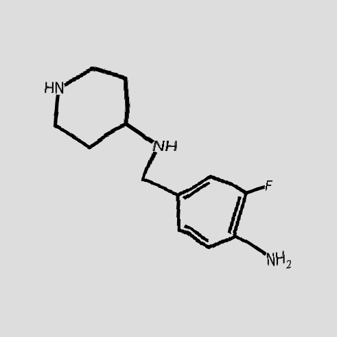 Nc1ccc(CNC2CCNCC2)cc1F